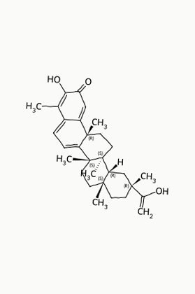 C=C(O)[C@]1(C)CC[C@]2(C)CC[C@]3(C)C4=CC=C5C(=CC(=O)C(O)=C5C)[C@]4(C)CC[C@@]3(C)[C@@H]2C1